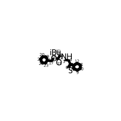 CC[C@H](C)[C@H](NCCc1csc2ccccc12)C(=O)OCc1ccccc1